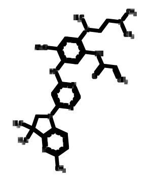 C=CC(=O)Nc1cc(Nc2cc(N3CC(C)(C)c4nc(C)ccc43)ncn2)c(OC)cc1N(C)CCN(C)C